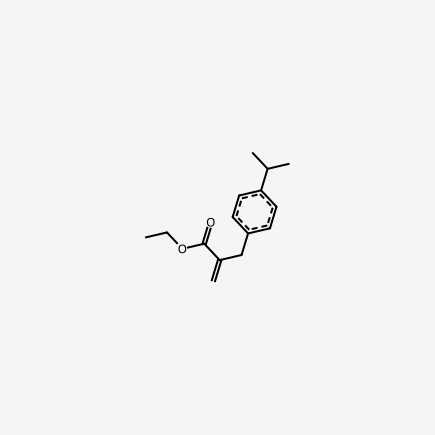 C=C(Cc1ccc(C(C)C)cc1)C(=O)OCC